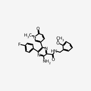 COc1ccccc1CNC(=O)c1nc(-c2ccc(=O)n(C)c2)c(-c2ccc(F)cc2)nc1N